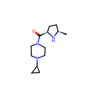 C[C@@H]1CC[C@H](C(=O)N2CCN(C3CC3)CC2)N1